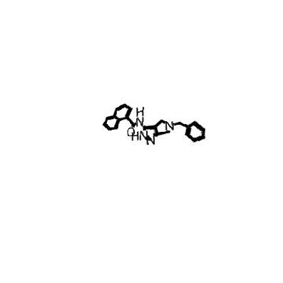 O=C(Nc1[nH]nc2c1CN(Cc1ccccc1)C2)c1cccc2ccccc12